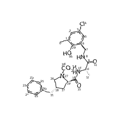 Cc1cc(Cl)cc(CNC(=O)[C@H](C)NC(=O)[C@H]2C[C@H](Cc3ccccc3)CN2C(=O)O)c1O